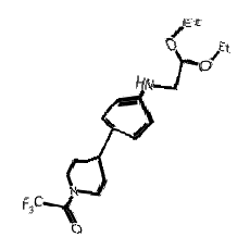 CCOC(CNc1ccc(C2CCN(C(=O)C(F)(F)F)CC2)cc1)OCC